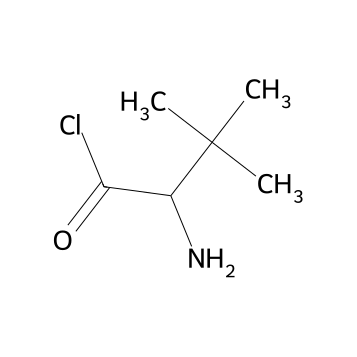 CC(C)(C)C(N)C(=O)Cl